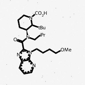 COCCCCn1c(C(=O)N(CC(C)C)[C@H]2CCCN(C(=O)O)C2C(C)(C)C)nc2cccnc21